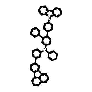 C1=CC(N(c2cccc(-c3ccc4c(c3)-c3cccc5cccc-4c35)c2)c2ccc(-c3ccc(-n4c5ccccc5c5ccccc54)cc3)c(-c3ccccc3)c2)=CCC1